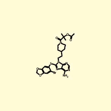 CC(=O)OC(C)(C)C(=O)N1CCC(CCn2c(Sc3cc4c(cc3Br)OCO4)nc3c(N)ncnc32)CC1